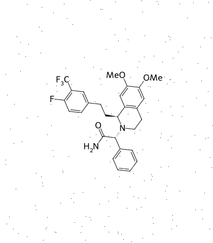 COc1cc2c(cc1OC)[C@H](CCc1ccc(F)c(C(F)(F)F)c1)N([C@@H](C(N)=O)c1ccccc1)CC2